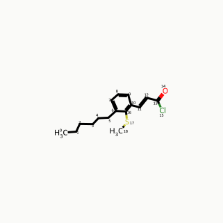 CCCCCCc1cccc(/C=C/C(=O)Cl)c1SC